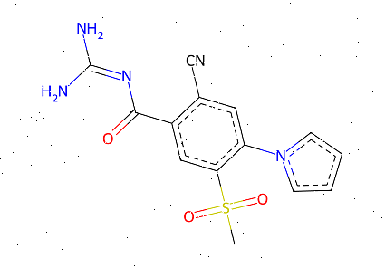 CS(=O)(=O)c1cc(C(=O)N=C(N)N)c(C#N)cc1-n1cccc1